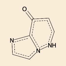 O=c1cc[nH]n2ccnc12